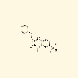 COC(=O)[C@@H](C=Cc1ccccc1)Oc1ccc(C(F)(F)F)cc1